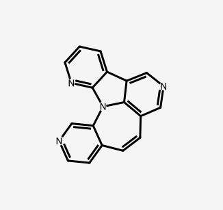 C1=Cc2cncc3c4cccnc4n(c23)-c2cnccc21